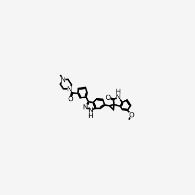 COc1ccc2c(c1)C1(CC1c1ccc3c(-c4cccc(C(=O)N5CCN(C)CC5)c4)n[nH]c3c1)C(=O)N2